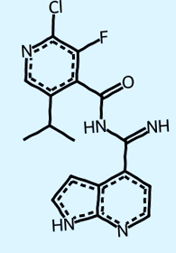 CC(C)c1cnc(Cl)c(F)c1C(=O)NC(=N)c1ccnc2[nH]ccc12